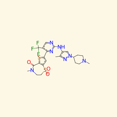 Cc1nn(C2CCN(C)CC2)cc1Nc1ncc(C(F)(F)F)c(-c2cc3c(s2)C(=O)N(C)CCS3(=O)=O)n1